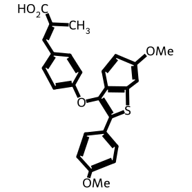 COc1ccc(-c2sc3cc(OC)ccc3c2Oc2ccc(C=C(C)C(=O)O)cc2)cc1